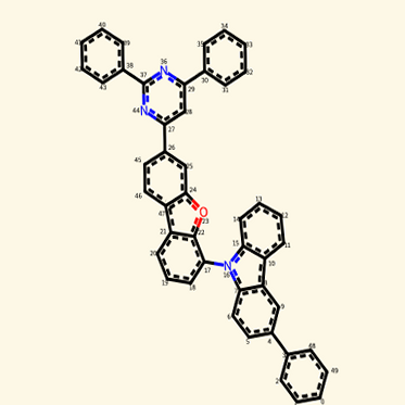 c1ccc(-c2ccc3c(c2)c2ccccc2n3-c2cccc3c2oc2cc(-c4cc(-c5ccccc5)nc(-c5ccccc5)n4)ccc23)cc1